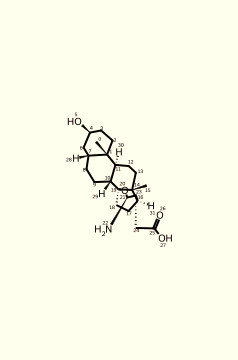 C[C@]12CC[C@H](O)C[C@H]1CC[C@@H]1[C@@H]2CC[C@]2(C)[C@@H]3CC[C@]12O[C@H](N)[C@@H]3CC(=O)O